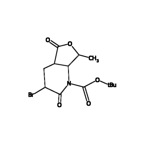 CC1OC(=O)C2CC(Br)C(=O)N(C(=O)OC(C)(C)C)C12